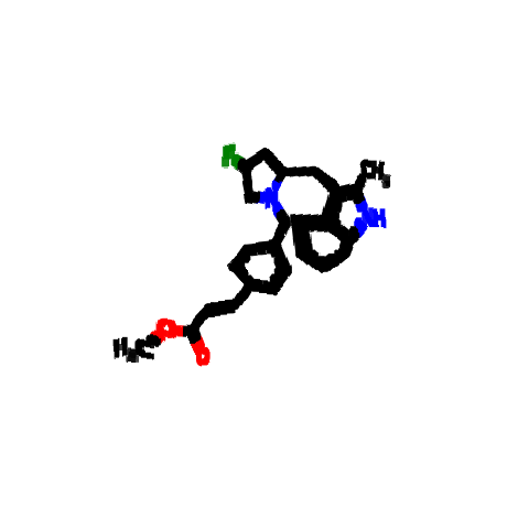 COC(=O)C=Cc1ccc(CN2CC(F)CC2Cc2c(C)[nH]c3ccccc23)cc1